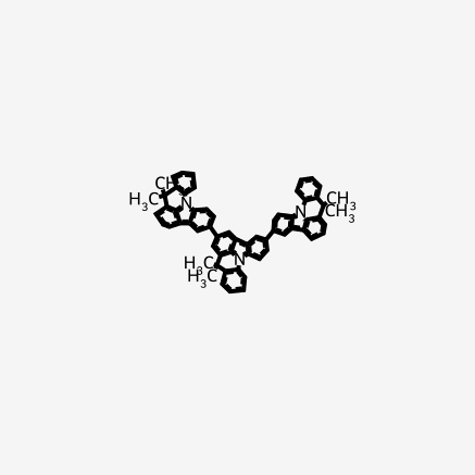 CC1(C)c2ccccc2-n2c3ccc(-c4ccc5c(c4)c4cc(-c6ccc7c(c6)c6cccc8c6n7-c6ccccc6C8(C)C)cc6c4n5-c4ccccc4C6(C)C)cc3c3cccc1c32